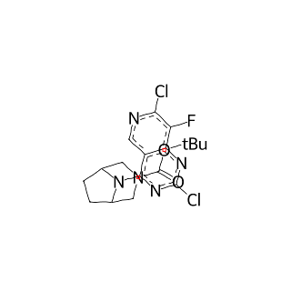 CC(C)(C)OC(=O)N1CC2CCC(C1)N2c1nc(Cl)nc2c(F)c(Cl)ncc12